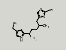 CC(C)Cc1c[nH]c(C(C)CCC(C)Cc2cnc(C(C)C)s2)c1